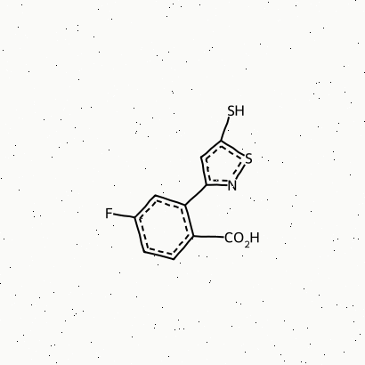 O=C(O)c1ccc(F)cc1-c1cc(S)sn1